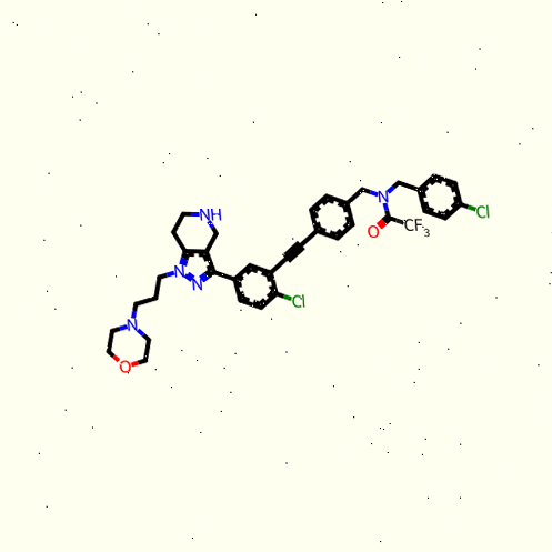 O=C(N(Cc1ccc(Cl)cc1)Cc1ccc(C#Cc2cc(-c3nn(CCCN4CCOCC4)c4c3CNCC4)ccc2Cl)cc1)C(F)(F)F